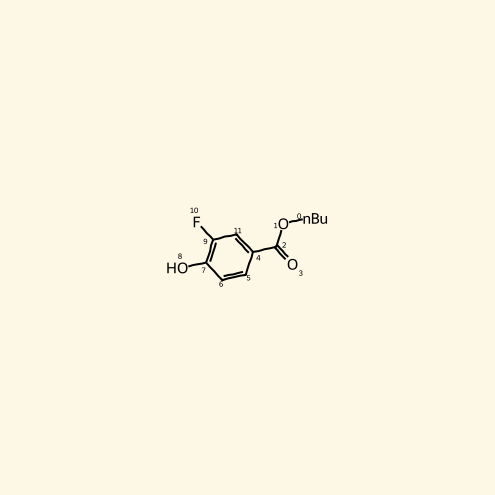 CCCCOC(=O)c1ccc(O)c(F)c1